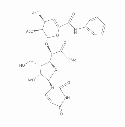 COC(=O)[C@H](O[C@H]1OC(C(=O)Nc2ccccc2)=C[C@H](OC(C)=O)[C@@H]1OC(C)=O)[C@H]1O[C@@H](n2ccc(=O)[nH]c2=O)[C@H](OC(C)=O)[C@@H]1CO